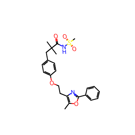 Cc1oc(-c2ccccc2)nc1CCOc1ccc(CC(C)(C)C(=O)NS(C)(=O)=O)cc1